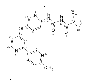 Cc1ccc(-c2cc(Oc3ccc(NC(=O)NC(=O)C4(C)CC4)nc3)ccn2)cn1